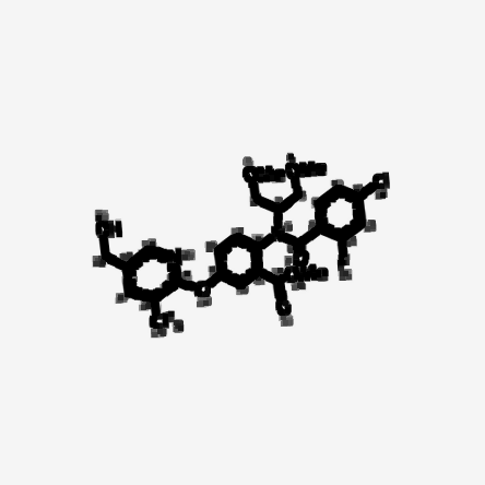 COCC(COC)N(C(=O)c1ccc(Cl)cc1F)c1ccc(Oc2ncc(CO)cc2C(F)(F)F)cc1C(=O)OC